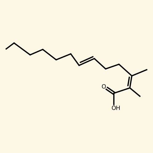 CCCCCCC=CCCC(C)=C(C)C(=O)O